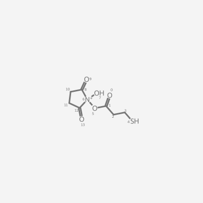 O=C(CCS)O[N+]1(O)C(=O)CCC1=O